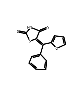 O=C1NC(=S)SC1=C(c1ccccc1)c1ccco1